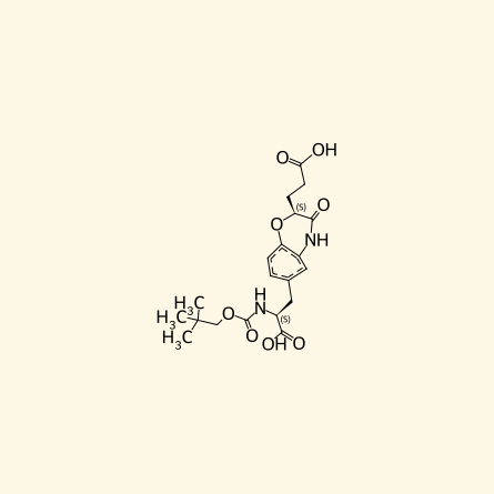 CC(C)(C)COC(=O)N[C@@H](Cc1ccc2c(c1)NC(=O)[C@H](CCC(=O)O)O2)C(=O)O